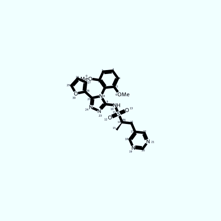 COc1cccc(OC)c1-n1c(NS(=O)(=O)[C@H](C)Cc2cncnc2)nnc1-c1ccco1